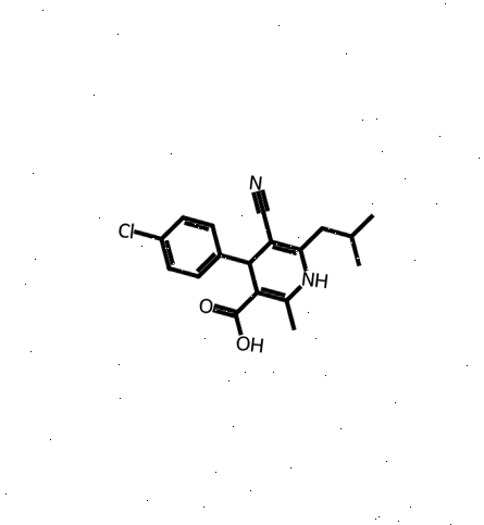 CC1=C(C(=O)O)C(c2ccc(Cl)cc2)C(C#N)=C(CC(C)C)N1